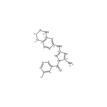 Cc1cccc(C(=O)n2nc(Nc3ccc4c(c3)NCCO4)nc2N)c1